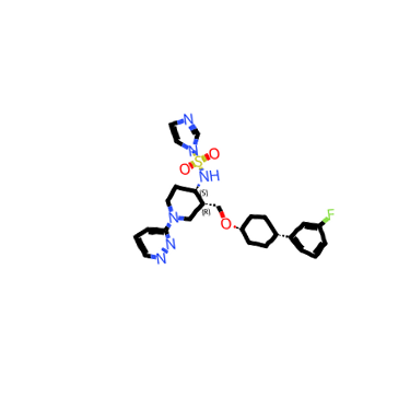 O=S(=O)(N[C@H]1CCN(c2cccnn2)C[C@H]1CO[C@H]1CC[C@@H](c2cccc(F)c2)CC1)n1ccnc1